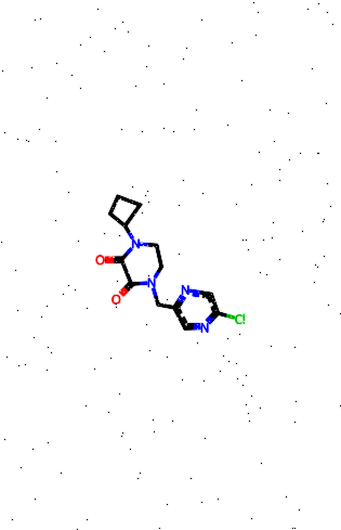 O=C1C(=O)N(C2CCC2)CCN1Cc1cnc(Cl)cn1